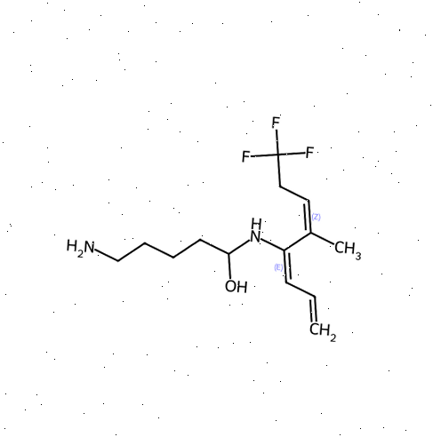 C=C/C=C(NC(O)CCCCN)\C(C)=C/CC(F)(F)F